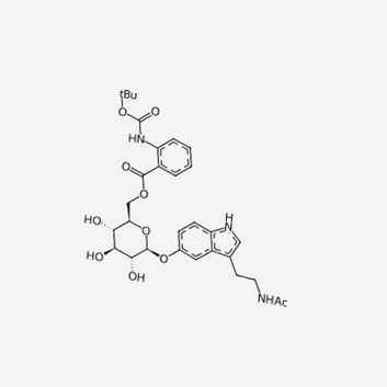 CC(=O)NCCc1c[nH]c2ccc(O[C@@H]3O[C@H](COC(=O)c4ccccc4NC(=O)OC(C)(C)C)[C@@H](O)[C@H](O)[C@H]3O)cc12